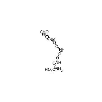 C=C(COCCOCCNC(=O)CC[C@H](N)C(=O)O)NCCOCCOCC(=O)NCc1ccc(CNCC=O)cc1